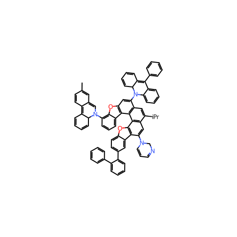 Cc1ccc2c(c1)=CN(c1cccc3c1oc1cc(N4c5ccccc5C(c5ccccc5)=C5C=CC=CC54)c4cc(C(C)C)c5cc(N6C=CC=NC6)c6c7cc(-c8ccccc8-c8ccccc8)ccc7oc6c5c4c13)C1C=CC=CC=21